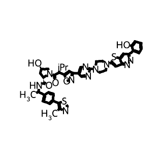 Cc1ncsc1-c1ccc(C(C)NC(=O)[C@@H]2C[C@@H](O)CN2C(=O)C(c2cc(-c3cnc(N4CCN(c5cc6nnc(-c7ccccc7O)cc6s5)CC4)nc3)no2)C(C)C)cc1